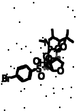 COC[C@]12COC([C@H]1OP1OC(C(C)C)C(C)N1C)[C@H](S(=O)(=O)c1ccc(Br)cc1)O2